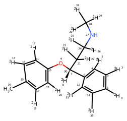 [2H]c1c([2H])c([2H])c([C@]([2H])(Oc2c([2H])c([2H])c(C)c([2H])c2[2H])C([2H])([2H])C([2H])([2H])NC([2H])([2H])[2H])c([2H])c1[2H]